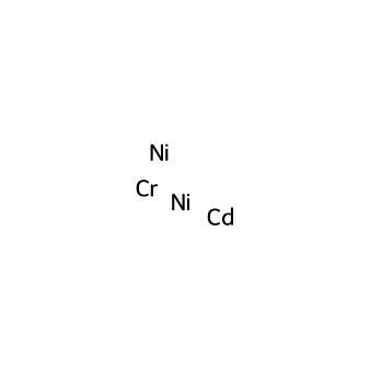 [Cd].[Cr].[Ni].[Ni]